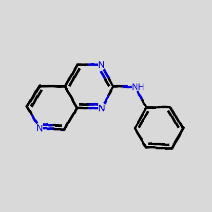 c1ccc(Nc2ncc3ccncc3n2)cc1